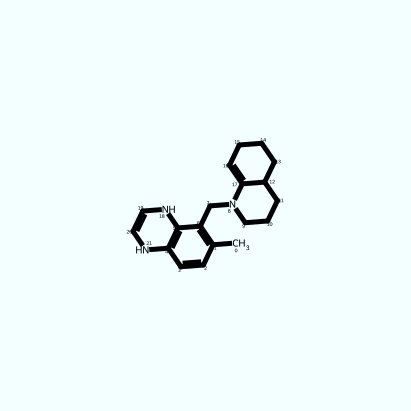 Cc1ccc2c(c1CN1CCCC3CCCC=C31)NC=CN2